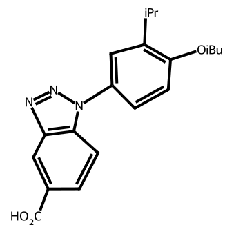 CC(C)COc1ccc(-n2nnc3cc(C(=O)O)ccc32)cc1C(C)C